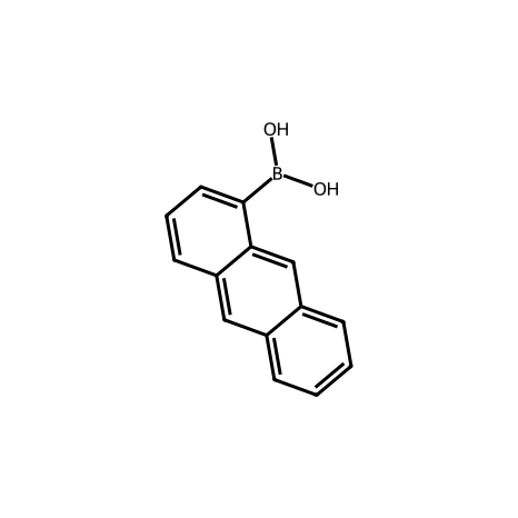 OB(O)c1cccc2cc3ccccc3cc12